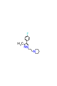 Cc1nn(CCCN2CCCCC2)cc1-c1ccc(F)cc1